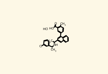 Cc1ccc(-c2cc(C(C)N[C@H](C)c3cccc(Cl)c3)cc3ccccc23)cc1C(=O)O.Cl